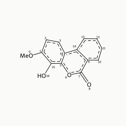 COc1ccc2c(oc(=O)c3ccccc32)c1O